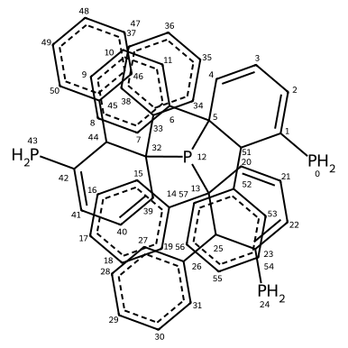 PC1=CC=CC(c2ccccc2)(P(C2(c3ccccc3)C=CC=C(P)C2c2ccccc2)C2(c3ccccc3)C=CC=C(P)C2c2ccccc2)C1c1ccccc1